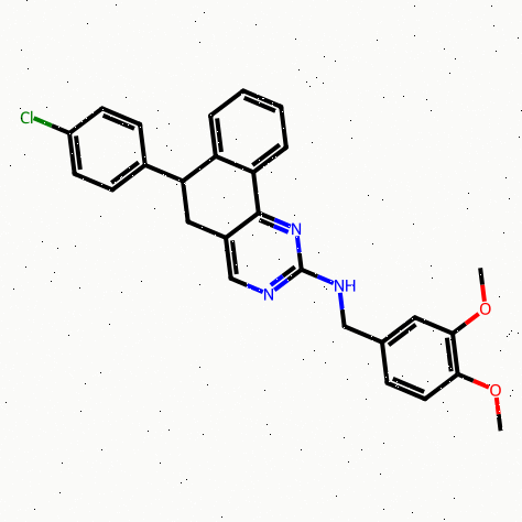 COc1ccc(CNc2ncc3c(n2)-c2ccccc2C(c2ccc(Cl)cc2)C3)cc1OC